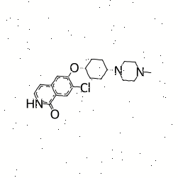 CN1CCN([C@H]2CC[C@@H](Oc3cc4cc[nH]c(=O)c4cc3Cl)CC2)CC1